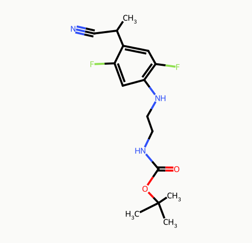 CC(C#N)c1cc(F)c(NCCNC(=O)OC(C)(C)C)cc1F